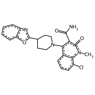 Cn1c(=O)c(C(N)=O)c(N2CCC(c3nc4ccccc4o3)CC2)c2cccc(Cl)c21